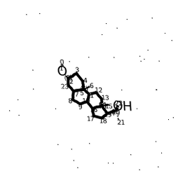 CO[C@H]1CC[C@@]2(C)C(CCC3C2CC[C@@]2(C)C3CCC2[C@@H](C)O)C1